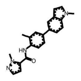 Cc1cc(-c2ccc3c(ccn3C)c2)ccc1NC(=O)c1ccnn1C